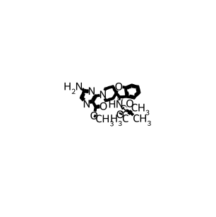 COC(=O)c1ncc(N)nc1N1CCC2(CC1)Oc1ccccc1[C@H]2NS(=O)(=O)C(C)(C)C